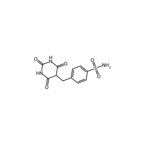 NS(=O)(=O)c1ccc(CC2C(=O)NC(=O)NC2=O)cc1